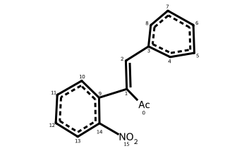 CC(=O)/C(=C\c1ccccc1)c1ccccc1[N+](=O)[O-]